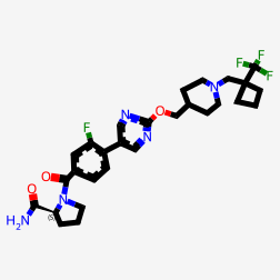 NC(=O)[C@@H]1CCCN1C(=O)c1ccc(-c2cnc(OCC3CCN(CC4(C(F)(F)F)CCC4)CC3)nc2)c(F)c1